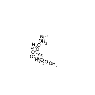 CC(=O)[O-].CC(=O)[O-].O.O.O.O.O.O.[Ni+2]